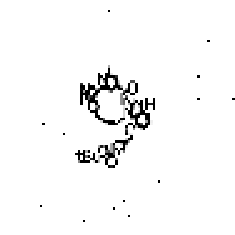 Cc1cc2cc(n1)-c1cnn(C)c1OCCCCCN1/C(=N/C2=O)Nc2cccc(OCC3CN(C(=O)OC(C)(C)C)C3)c21